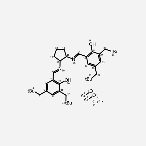 CC(=O)[O-].CC(=O)[O-].CC(C)(C)Cc1cc(C=NC2CCCC2N=Cc2cc(CC(C)(C)C)cc(CC(C)(C)C)c2O)c(O)c(CC(C)(C)C)c1.[Co+2]